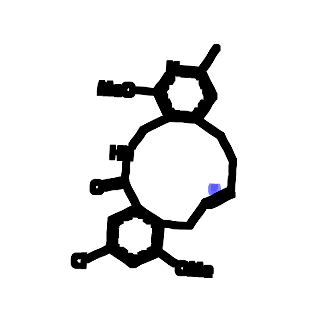 COc1cc(Cl)cc2c1C/C=C/CCc1cc(C)nc(OC)c1CNC2=O